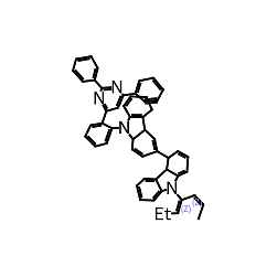 C/C=C\C(=C\CC)N1C2=CC=CC(C3=CC4C5=C(C=CCC5)N(c5ccccc5-c5cc(-c6c#cccc6)nc(-c6ccccc6)n5)C4C=C3)C2c2ccccc21